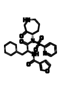 O=C(NC(CC1CCCCC1)C(=O)N([C@H]1CCCNCC1=O)S(=O)(=O)c1ccccn1)c1ccoc1